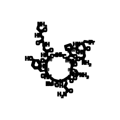 CC[C@H](C)C1NC(=O)[C@H](Cc2ccc(O)cc2)NC(=O)[C@@H](NC(=O)CNC(=O)CNC(=O)CN)CSSC[C@@H](C(=O)N2CCC[C@H]2C(=O)N[C@@H](CC(C)C)C(=O)NCC(N)=O)NC(=O)[C@H](CC(N)=O)NC(=O)[C@H](CCC(N)=O)NC1=O